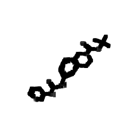 CC(C)(C)OC(=O)N1CCc2cc(NC(=O)Nc3cccnc3)ccc2C1